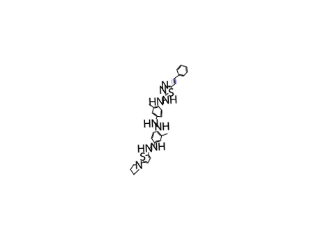 Cc1cc(NNc2ccc(N3CCCC3)s2)ccc1NNc1ccc(NNc2nnc(/C=C/c3ccccc3)s2)c(C)c1